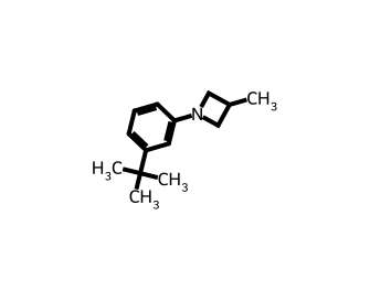 CC1CN(c2cccc(C(C)(C)C)c2)C1